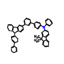 CC1(C)c2ccccc2-c2ccc(N(c3ccccc3)c3ccc(-c4cccc(-c5ccc6c(c5)C5=C(CCC=C5)C6C5=CC=C(C6=CCCC=C6)CC5)c4)cc3)cc21